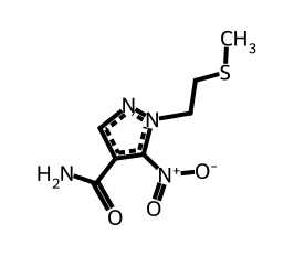 CSCCn1ncc(C(N)=O)c1[N+](=O)[O-]